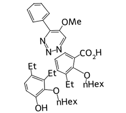 CCCCCCOc1c(CC)cccc1C(=O)O.CCCCCCOc1c(O)ccc(CC)c1CC.COc1cnnnc1-c1ccccc1